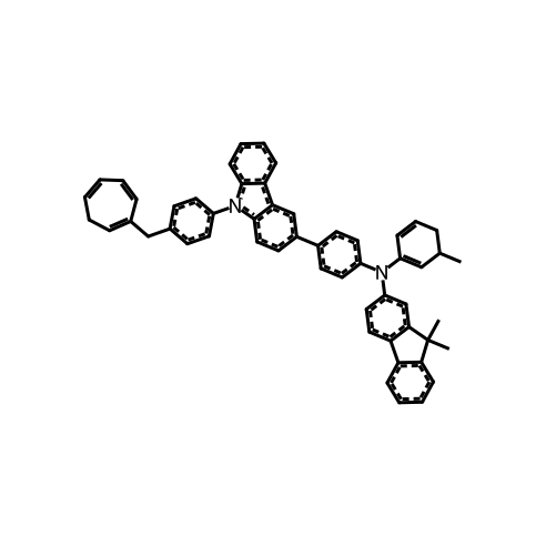 CC1C=C(N(c2ccc(-c3ccc4c(c3)c3ccccc3n4-c3ccc(CC4=CCC=CC=C4)cc3)cc2)c2ccc3c(c2)C(C)(C)c2ccccc2-3)C=CC1